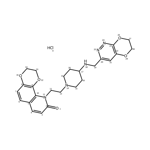 Cl.O=c1ccc2ccc3c(c2n1CCN1CCC(NCc2cc4c(nn2)OCCO4)CC1)OCCO3